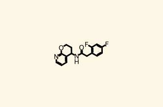 O=C(Cc1ccc(F)cc1F)NC1CCOc2ncccc21